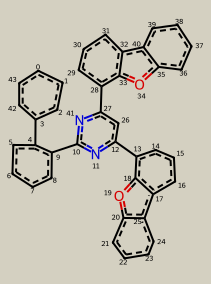 c1ccc(-c2ccccc2-c2nc(-c3cccc4c3oc3ccccc34)cc(-c3cccc4c3oc3ccccc34)n2)cc1